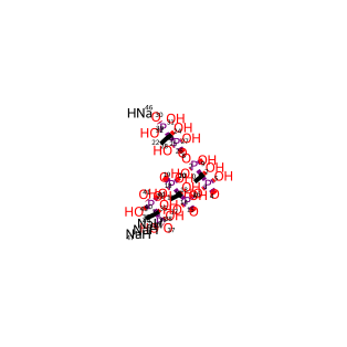 CC(O)(P(=O)(O)O)P(=O)(O)O.CC(O)(P(=O)(O)O)P(=O)(O)O.CC(O)(P(=O)(O)O)P(=O)(O)O.CC(O)(P(=O)(O)O)P(=O)(O)O.[NaH].[NaH].[NaH].[NaH]